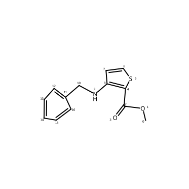 COC(=O)c1sccc1NCc1ccccc1